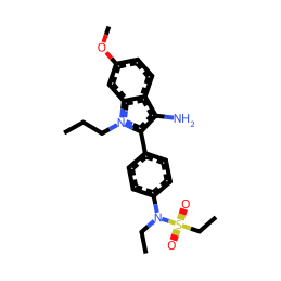 CCCn1c(-c2ccc(N(CC)S(=O)(=O)CC)cc2)c(N)c2ccc(OC)cc21